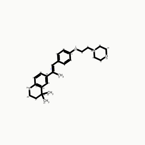 C/C(=C\c1ccc(OCCN2CCOCC2)cc1)c1ccc2c(c1)C(C)(C)CCS2